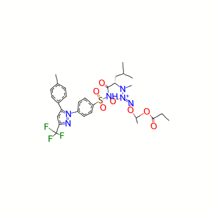 CCC(=O)OC(C)O/N=[N+](\[O-])N(C)[C@@H](CC(C)C)C(=O)NS(=O)(=O)c1ccc(-n2nc(C(F)(F)F)cc2-c2ccc(C)cc2)cc1